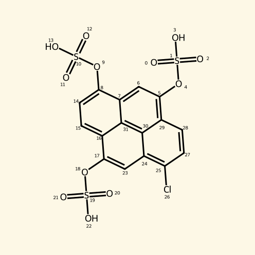 O=S(=O)(O)Oc1cc2c(OS(=O)(=O)O)ccc3c(OS(=O)(=O)O)cc4c(Cl)ccc1c4c32